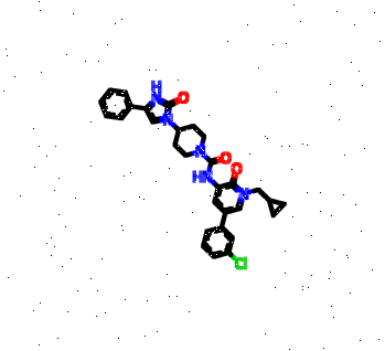 O=C(Nc1cc(-c2cccc(Cl)c2)cn(CC2CC2)c1=O)N1CCC(n2cc(-c3ccccc3)[nH]c2=O)CC1